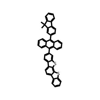 CC1(C)c2ccccc2-c2ccc(-c3c4ccccc4c(-c4ccc5c(c4)sc4c5ccc5c6ccccc6sc54)c4ccccc34)cc21